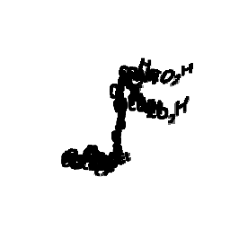 CCc1cc(Cl)c(OCc2cccc(C3(C)C=CC4=C(C3)OCCO4)c2C)cc1OCCOCCOCCN1CCN(C(=O)CCC(C(=O)O)N(CCNCC(=O)O)CCN(CCNCC(=O)O)CC(=O)O)CC1